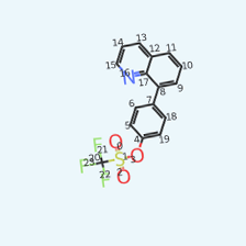 O=S(=O)(Oc1ccc(-c2cccc3cccnc23)cc1)C(F)(F)F